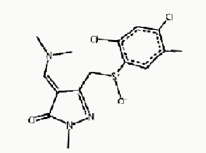 Cc1cc([S+]([O-])CC2=NN(C)C(=O)C2=CN(C)C)c(Cl)cc1Cl